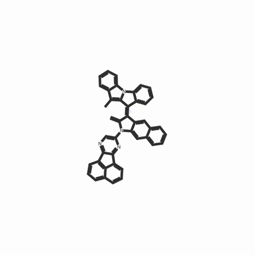 C=c1/c(=c2/c3ccccc3n3c2c(C)c2ccccc23)c2cc3ccccc3cc2n1-c1cnc2c(n1)-c1cccc3cccc-2c13